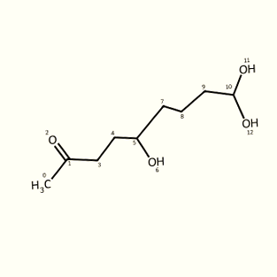 CC(=O)CCC(O)CCCC(O)O